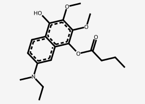 CCCC(=O)Oc1c(OC)c(OC)c(O)c2ccc(N(C)CC)cc12